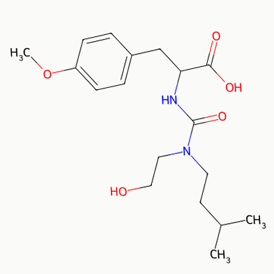 COc1ccc(CC(NC(=O)N(CCO)CCC(C)C)C(=O)O)cc1